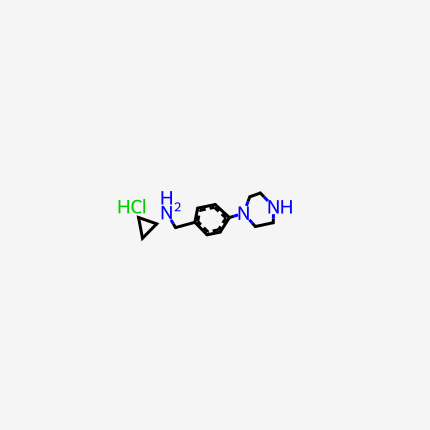 C1CC1.Cl.NCc1ccc(N2CCNCC2)cc1